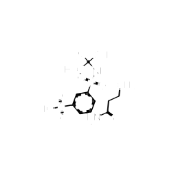 CC(C)(C)NS(=O)(=O)c1cccc(S(=O)(=O)O)c1.CCCC(N)=O